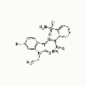 CCN1C(=O)/C(=N\N(C(N)=S)c2ccccc2S(N)(=O)=O)c2ccc(Br)cc21